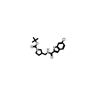 CC(C)(C)OC(=O)N1CCC(CNC(=O)c2cc3ccc(Cl)cc3s2)C1